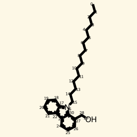 CCCCCCCCCCCCCCCCn1c2ccccc2c2cccc(CO)c21